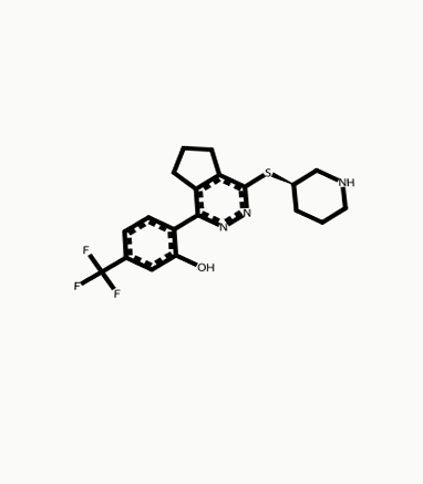 Oc1cc(C(F)(F)F)ccc1-c1nnc(S[C@@H]2CCCNC2)c2c1CCC2